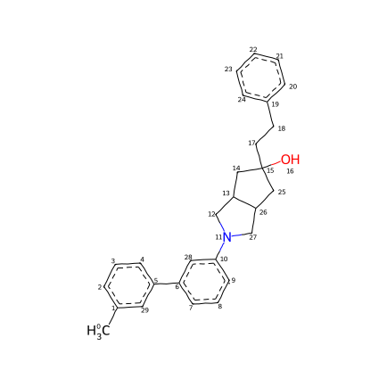 Cc1cccc(-c2cc[c]c(N3CC4CC(O)(CCc5ccccc5)CC4C3)c2)c1